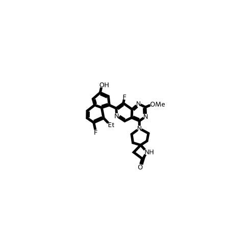 CCc1c(F)ccc2cc(O)cc(-c3ncc4c(N5CCC6(CC5)CC(=O)N6)nc(OC)nc4c3F)c12